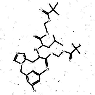 CC(C)CC(NC(Cc1cncn1Cc1cc(Cl)cc(Cl)c1)C(=O)OCOC(=O)C(C)(C)C)C(=O)OCOC(=O)C(C)(C)C